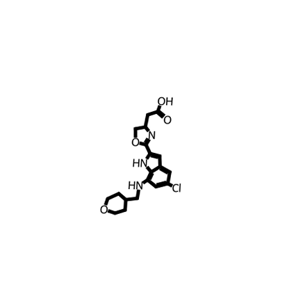 O=C(O)CC1COC(c2cc3cc(Cl)cc(NCC4CCOCC4)c3[nH]2)=N1